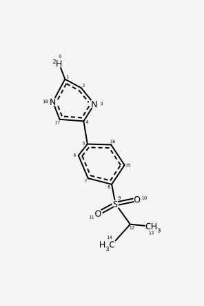 [2H]c1cnc(-c2ccc(S(=O)(=O)C(C)C)cc2)cn1